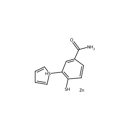 NC(=O)c1ccc(S)c([SH]2C=CC=C2)c1.[Zn]